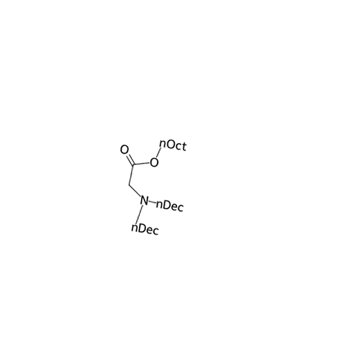 CCCCCCCCCCN(CCCCCCCCCC)CC(=O)OCCCCCCCC